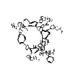 COc1cc(S(=O)(=O)Nc2ccccc2)c2cc1Oc1ccc(cc1)CC[C@H]1c3cc(c(OC)cc3CCN1C)Oc1c(OC)c(OC)cc3c1[C@@H](C2)N(C)CC3